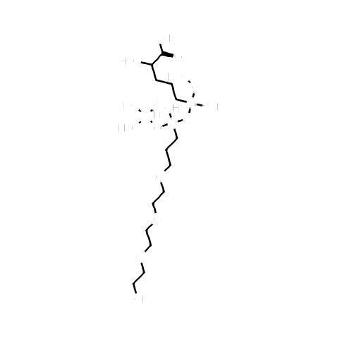 CCCOCCOCCOCCC[Si](C)(O[Si](C)(C)C)O[Si](C)(CCCC(C)C(=O)O)OC